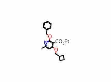 CCOC(=O)c1c(OCC2CCC2)cc(C)nc1OCc1ccccc1